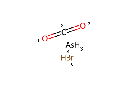 Br.O=C=O.[AsH3]